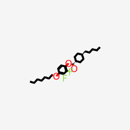 CCCCCCCOc1ccc(OC(=O)[C@H]2CC[C@H](CCCCC)CC2)c(F)c1F